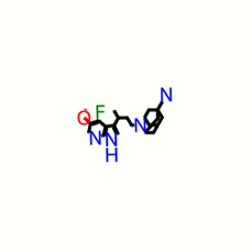 COc1cnc2[nH]cc(C(C)CCN3C4CC5CC3CC(C#N)(C5)C4)c2c1F